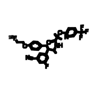 CC(NC(=O)C(C)(C)Oc1ccc(C(F)(F)F)cn1)C(Cc1ccc(OCC[18F])cc1)c1cc(F)cc(C#N)c1